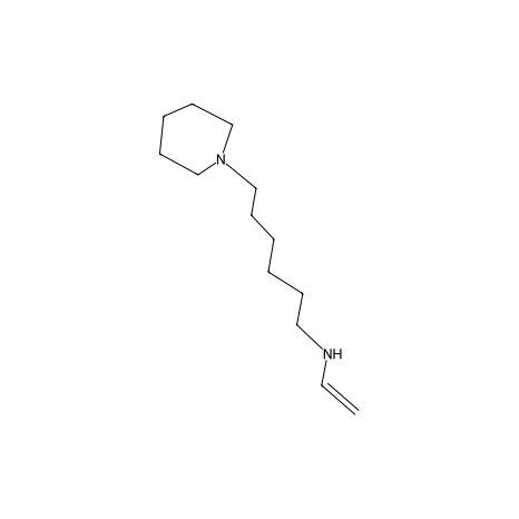 C=CNCCCCCCN1CCCCC1